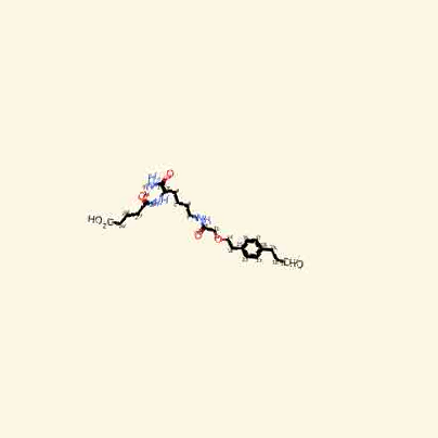 NC(=O)C(CCCCNC(=O)COCCc1ccc(CCC=O)cc1)NC(=O)CCCC(=O)O